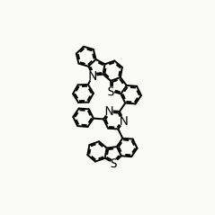 c1ccc(-c2cc(-c3cccc4sc5ccccc5c34)nc(-c3cccc4c3sc3c4ccc4c5ccccc5n(-c5ccccc5)c43)n2)cc1